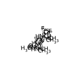 COCC[C@H]([C@@H]1C[C@H]1C(=O)N[C@H]1CC(C)(C)Oc2c(F)cc(F)cc21)N1C(=N)NC(C)(C)CC1=O